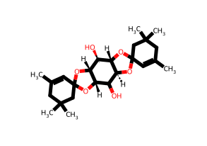 CC1=CC2(CC(C)(C)C1)O[C@@H]1[C@@H](O)[C@@H]3OC4(C=C(C)CC(C)(C)C4)O[C@H]3C(O)[C@@H]1O2